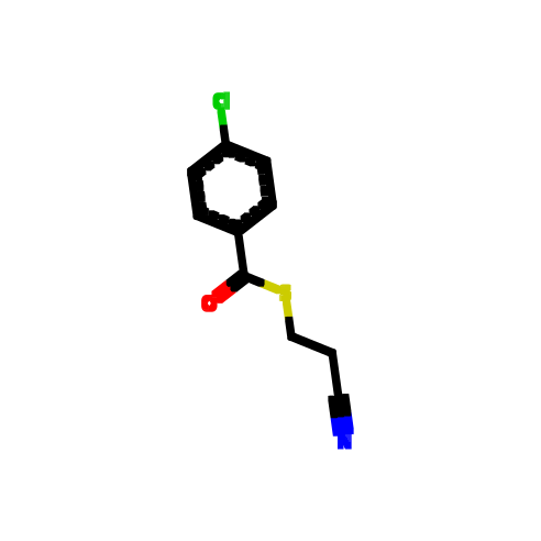 N#CCCSC(=O)c1ccc(Cl)cc1